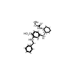 CC(C)(C)OC(=O)N[C@H]1CCCC[C@H]1Nc1ccc(C(=O)O)c(NCc2ccccc2)n1